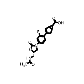 CC(=O)NC[C@H]1CN(c2ccc(C3=CC4C(C3)C4C(=O)O)c(F)c2)C(=O)O1